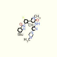 Cc1c(NC(=O)c2ccc(C(C)(C)C)cc2)cc(F)cc1-c1cc(Nc2ccc(N3CCN(C)CC3)cn2)c(=O)n(C)c1